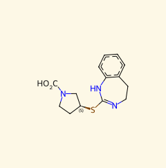 O=C(O)N1CC[C@H](SC2=NCCc3ccccc3N2)C1